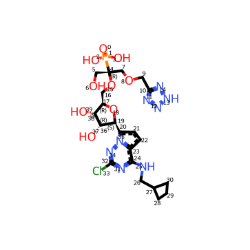 O=P(O)(O)[C@](CO)(COCc1nn[nH]n1)OC[C@H]1O[C@@H](c2ccc3c(NCC4CCC4)nc(Cl)nn23)[C@H](O)[C@@H]1O